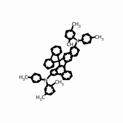 Cc1ccc(N(c2ccc3cc4c(cc3c2)C2(c3ccccc3-c3ccccc32)c2c-4c3ccccc3c3cc(N(c4ccc(C)cc4)c4cc(C)ccc4C)ccc23)c2cc(C)ccc2C)cc1